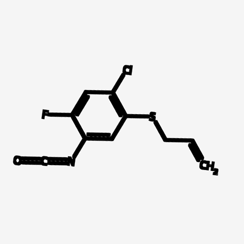 C=CCSc1cc(N=C=O)c(F)cc1Cl